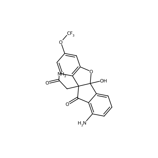 NC(=O)CC12C(=O)c3c(N)cccc3C1(O)Oc1cc(OC(F)(F)F)ccc12